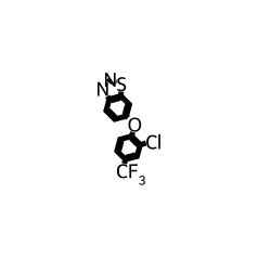 FC(F)(F)c1ccc(Oc2ccc3nnsc3c2)c(Cl)c1